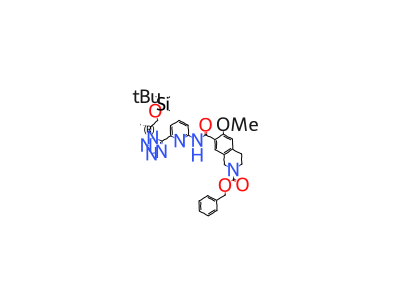 COc1cc2c(cc1C(=O)Nc1cccc(-c3nnnn3[C@H](C)CO[Si](C)(C)C(C)(C)C)n1)CN(C(=O)OCc1ccccc1)CC2